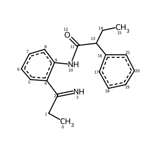 CCC(=N)c1ccccc1NC(=O)C(CC)c1ccccc1